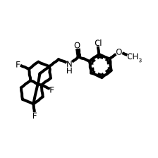 COc1cccc(C(=O)NCC23CC(F)C4CCC(F)(C2)CC4(F)C3)c1Cl